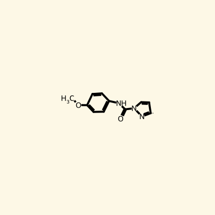 COc1ccc(NC(=O)n2cc[c]n2)cc1